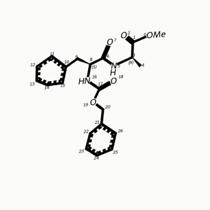 COC(=O)[C@@H](C)NC(=O)[C@H](Cc1ccccc1)NC(=O)OCc1ccccc1